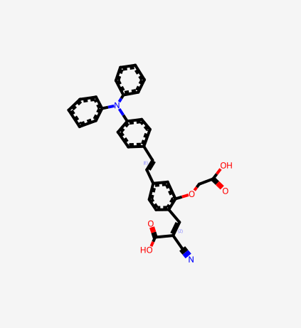 N#C/C(=C/c1ccc(/C=C/c2ccc(N(c3ccccc3)c3ccccc3)cc2)cc1OCC(=O)O)C(=O)O